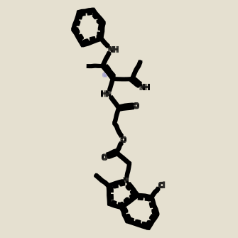 CC(=N)/C(NC(=O)COC(=O)Cn1c(C)cc2cccc(Cl)c21)=C(/C)Nc1ccccc1